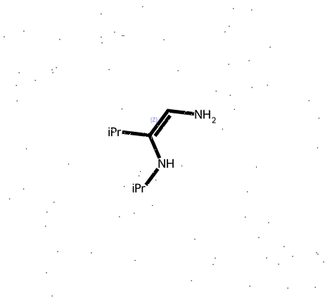 CC(C)N/C(=C\N)C(C)C